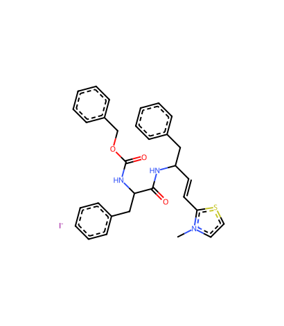 C[n+]1ccsc1/C=C/C(Cc1ccccc1)NC(=O)C(Cc1ccccc1)NC(=O)OCc1ccccc1.[I-]